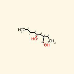 CCCCC(O)CC(CC)CO